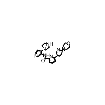 O=C(Nc1cnccc1N1CCNCC1)c1cccc(C2=CCC(N3CCOCC3)N=C2)n1